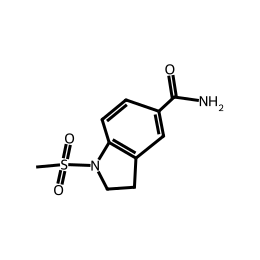 CS(=O)(=O)N1CCc2cc(C(N)=O)ccc21